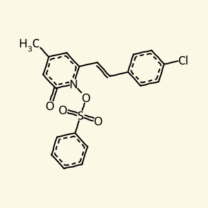 Cc1cc(/C=C/c2ccc(Cl)cc2)n(OS(=O)(=O)c2ccccc2)c(=O)c1